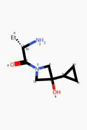 CC[C@H](N)C(=O)N1CC(O)(C2CC2)C1